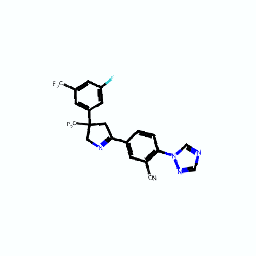 N#Cc1cc(C2=NCC(c3cc(F)cc(C(F)(F)F)c3)(C(F)(F)F)C2)ccc1-n1cncn1